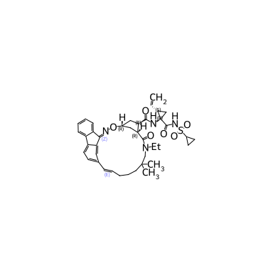 C=C[C@@H]1C[C@]1(NC(=O)[C@@H]1C[C@@H]2C[C@H]1C(=O)N(CC)CC(C)(C)CCC/C=C/c1ccc3c(c1)/C(=N\O2)c1ccccc1-3)C(=O)NS(=O)(=O)C1CC1